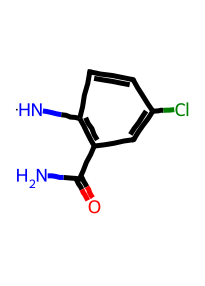 [NH]c1ccc(Cl)cc1C(N)=O